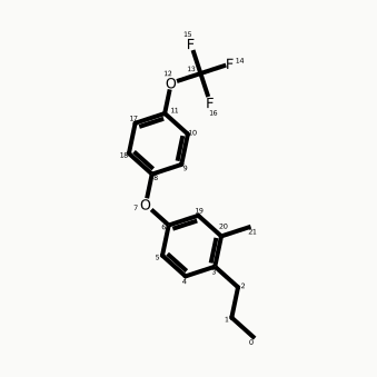 CCCc1ccc(Oc2ccc(OC(F)(F)F)cc2)cc1C